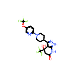 O=C1CC(O)(C(F)(F)F)c2c(C3CCN(c4ccc(OC(F)(F)F)cn4)CC3)n[nH]c2N1